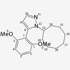 COc1cccc(OC)c1-c1ccnn1C1CCCCCCC1